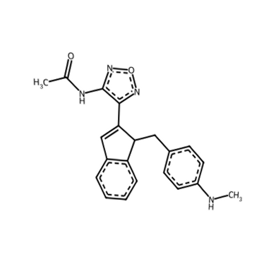 CNc1ccc(CC2C(c3nonc3NC(C)=O)=Cc3ccccc32)cc1